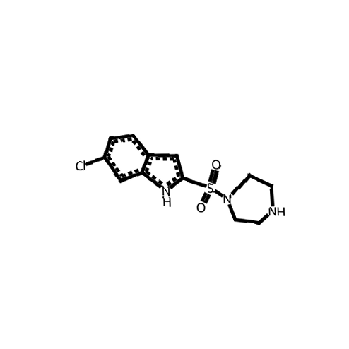 O=S(=O)(c1cc2ccc(Cl)cc2[nH]1)N1CCNCC1